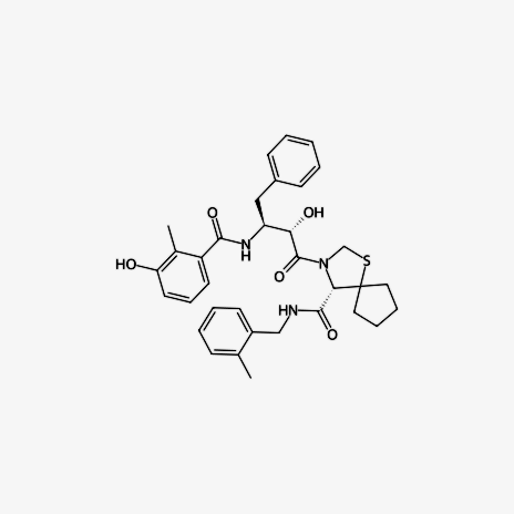 Cc1ccccc1CNC(=O)[C@@H]1N(C(=O)[C@@H](O)[C@H](Cc2ccccc2)NC(=O)c2cccc(O)c2C)CSC12CCCC2